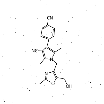 Cc1nc(Cn2c(C)c(C#N)c(-c3ccc(C#N)cc3)c2C)c(CO)o1